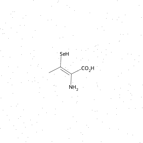 CC([SeH])=C(N)C(=O)O